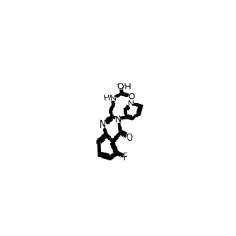 O=C(O)NCCc1nc2cccc(F)c2c(=O)n1-c1cccnc1